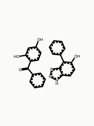 O=C(c1ccccc1)c1ccc(O)cc1O.Oc1ccc2[nH]nnc2c1-c1ccccc1